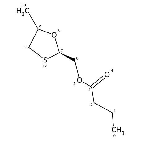 CCCC(=O)OC[C@@H]1OC(C)CS1